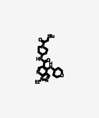 CCn1ncc2c(NC3CCOCC3)c(C(=O)NC3CCN(C(=O)CC(C)(C)C)CC3)cnc21